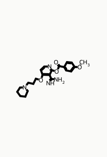 COc1ccc(C(=O)Oc2nccc(OCCCN3CCCCC3)c2C(=N)N)cc1